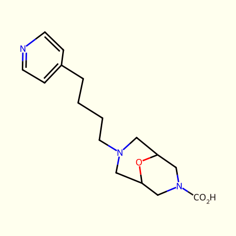 O=C(O)N1CC2CN(CCCCc3ccncc3)CC(C1)O2